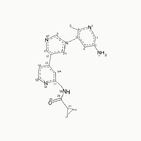 Cc1ncc(N)cc1-c1cncc(-c2ccnc(NC(=O)C3CC3)c2)c1